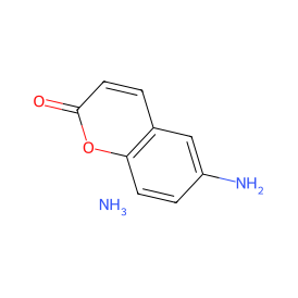 N.Nc1ccc2oc(=O)ccc2c1